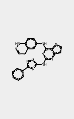 C1=NNc2ccc(Nc3nc(Nc4nc(-c5ccccc5)ns4)nc4ccsc34)cc2C1